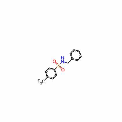 O=S(=O)(NCc1ccccc1)c1ccc(C(F)(F)F)cc1